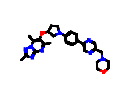 Cc1nc2nc(C)c(OC3CCN(c4ccc(-c5cnc(CN6CCOCC6)cn5)cc4)C3)c(C)n2n1